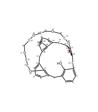 Oc1c2cccc1Cc1cccc3c1OCCOCCOCCOCCOc1c(cccc1Cc1cccc(c1O)C3)C2